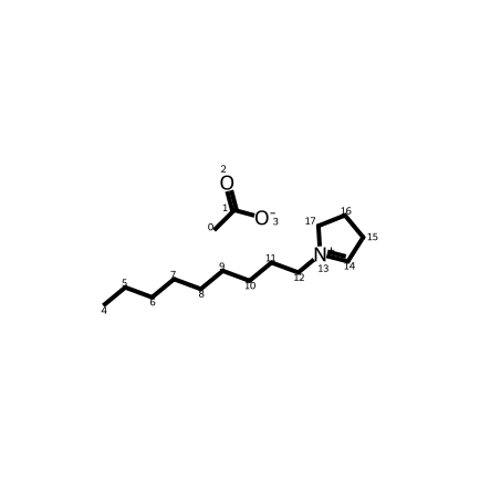 CC(=O)[O-].CCCCCCCCC[N+]1=CCCC1